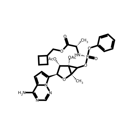 CC(=O)O[C@H]1[C@H](c2ccc3c(N)ncnn23)O[C@]2(C)C(O[P@@](=O)(N[C@@H](C)C(=O)OCC3CCC3)Oc3ccccc3)[C@]12OC(C)=O